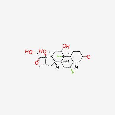 C[C@H]1C[C@H]2[C@@H]3C[C@H](F)[C@@H]4CC(=O)CC[C@]4(C)[C@@]3(F)[C@@H](O)C[C@]2(C)[C@@]1(O)C(=O)CO